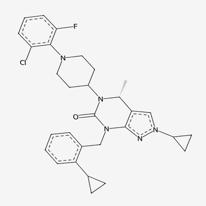 C[C@@H]1c2cn(C3CC3)nc2N(Cc2ccccc2C2CC2)C(=O)N1C1CCN(c2c(F)cccc2Cl)CC1